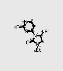 CCN1CC(C(C)C)N(c2ccnc(F)n2)C1=O